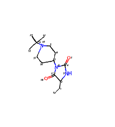 CCC1NC(=O)N(C2CCN(C(C)(C)C)CC2)C1=O